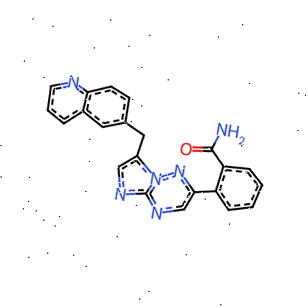 NC(=O)c1ccccc1-c1cnc2ncc(Cc3ccc4ncccc4c3)n2n1